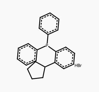 Br.c1ccc(P(c2ccccc2)c2ccccc2C2CCCC2)cc1